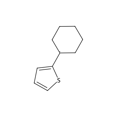 c1csc([C]2CCCCC2)c1